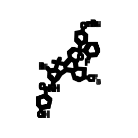 CCCCOc1ccc(C2(c3ccccc3F)C=Cc3c4c(c5ccc(C(F)(F)F)cc5c3O2)-c2cc(NC(=O)c3ccc(O)cc3)cc(Br)c2C4(C)C)cc1